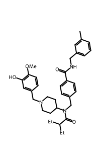 CCC(CC)C(=O)N(Cc1ccc(C(=O)NCc2cccc(C)c2)cc1)C1CCN(Cc2ccc(OC)c(O)c2)CC1